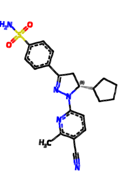 Cc1nc(N2N=C(c3ccc(S(N)(=O)=O)cc3)C[C@@H]2C2CCCC2)ccc1C#N